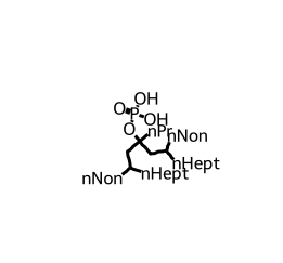 CCCCCCCCCC(CCCCCCC)CC(CCC)(CC(CCCCCCC)CCCCCCCCC)OP(=O)(O)O